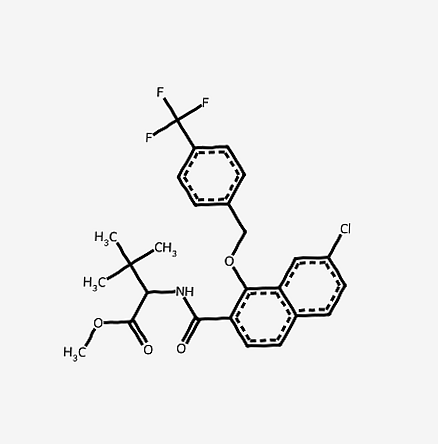 COC(=O)C(NC(=O)c1ccc2ccc(Cl)cc2c1OCc1ccc(C(F)(F)F)cc1)C(C)(C)C